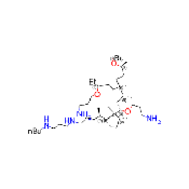 CCCCNCCCNCCC[C@@H](C)[C@H]1CC[C@@H](C)[C@]1(C)[C@H](C[C@@H](C)[C@@](C)(CC[C@H](CC)OCCCN)CC[C@H](C)OCCCC)OCCCN